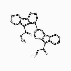 C=CC(=O)n1c2ccccc2c2cc(-c3cccc4c5ccccc5n(C(=O)C=C)c34)ccc21